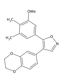 COc1cc(-c2oncc2-c2ccc3c(c2)OCCO3)cc(C)c1C